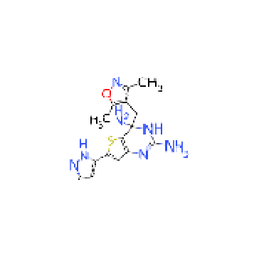 Cc1noc(C)c1CC1(N)NC(N)=Nc2cc(-c3ccn[nH]3)sc21